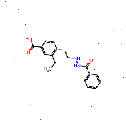 CCc1cc(C(=O)O)ccc1CCNNC(=O)c1ccccc1